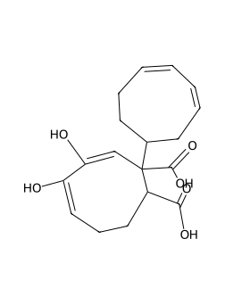 O=C(O)C1CC/C=C(O)\C(O)=C/C1(C(=O)O)C1C/C=C\C=C/CC1